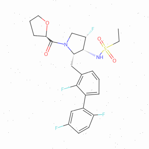 CCS(=O)(=O)N[C@H]1[C@@H](F)CN(C(=O)[C@H]2CCCO2)[C@H]1Cc1cccc(-c2cc(F)ccc2F)c1F